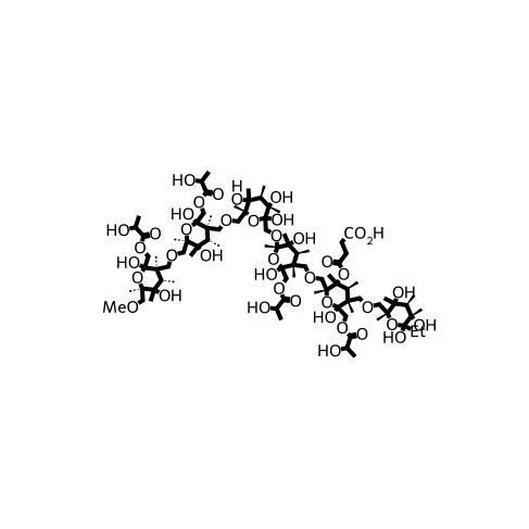 CCC1(O)O[C@](C)(COC[C@@]2(C)[C@H](C)C(C)(OC(=O)CCC(=O)O)[C@@](C)(COC[C@@]3(C)[C@H](C)C(C)(O)[C@@](C)(OCC4(O)O[C@](C)(COC[C@@]5(C)[C@H](C)C(C)(O)[C@@](C)(COC[C@@]6(C)[C@H](C)C(C)(O)[C@@](C)(COC)OC6(O)COC(=O)C(C)O)OC5(O)COC(=O)C(C)O)C(C)(O)[C@@H](C)[C@]4(C)O)OC3(O)COC(=O)C(C)O)OC2(O)COC(=O)C(C)O)C(C)(O)[C@@H](C)[C@]1(C)O